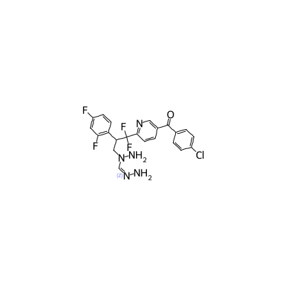 N/N=C\N(N)CC(c1ccc(F)cc1F)C(F)(F)c1ccc(C(=O)c2ccc(Cl)cc2)cn1